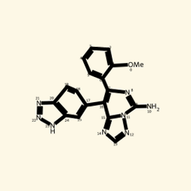 COc1ccccc1-c1nc(N)n2ncnc2c1-c1ccc2nn[nH]c2c1